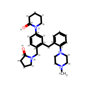 CN1CCN(c2ccccc2Cc2cc(N3CCCCC3=O)ccc2CN2CCCC2=O)CC1